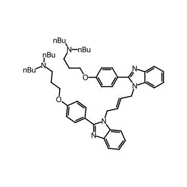 CCCCN(CCCC)CCCOc1ccc(-c2nc3ccccc3n2CC=CCn2c(-c3ccc(OCCCN(CCCC)CCCC)cc3)nc3ccccc32)cc1